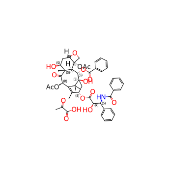 CC(=O)C(=O)O.CC(=O)O[C@H]1C(=O)[C@@]2(C)[C@H]([C@H](OC(=O)c3ccccc3)[C@]3(O)C[C@H](OC(=O)[C@H](O)[C@@H](NC(=O)c4ccccc4)c4ccccc4)C(C)=C1C3(C)C)[C@]1(OC(C)=O)CO[C@@H]1C[C@@H]2O